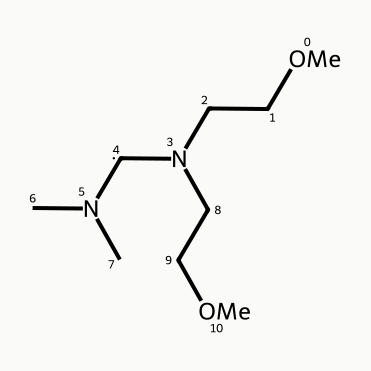 COCCN([CH]N(C)C)CCOC